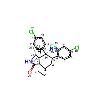 CC[C@@]12CCC(c3ccc(Cl)cc3Cl)[C@](N)(c3ccc(Cl)cc3)[C@@H]1[C@@H](C)NC2=O